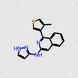 Cc1cscc1-c1nc(Nc2cc[nH]n2)cc2ccccc12